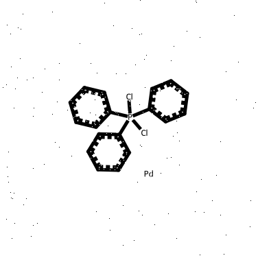 ClP(Cl)(c1ccccc1)(c1ccccc1)c1ccccc1.[Pd]